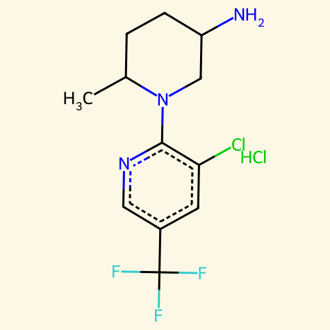 CC1CCC(N)CN1c1ncc(C(F)(F)F)cc1Cl.Cl